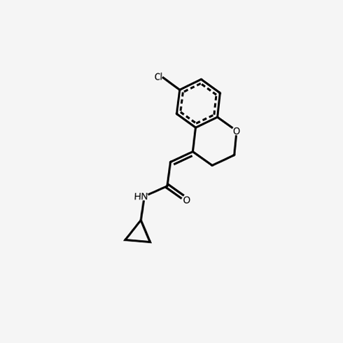 O=C(/C=C1\CCOc2ccc(Cl)cc21)NC1CC1